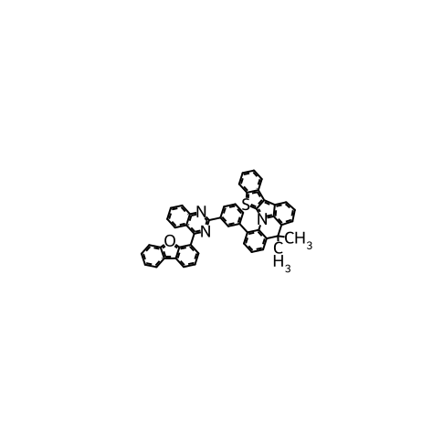 CC1(C)c2cccc(-c3cccc(-c4nc(-c5cccc6c5oc5ccccc56)c5ccccc5n4)c3)c2-n2c3sc4ccccc4c3c3cccc1c32